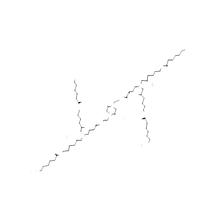 CCCCCCC(=O)OCCCCC(O)CN(CCCC(=O)OCCN1CC(C)N(CCOC(=O)CCCN(CC(O)CCCCOC(=O)CCCCCC)CC(O)CCCCOC(=O)CCCCCC)CC1C)CC(O)CCCCOC(=O)CCCCCC